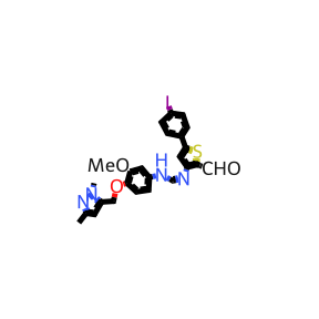 COc1cc(N/C=N\c2cc(-c3ccc(I)cc3)sc2C=O)ccc1OCc1cc(C)nn1C